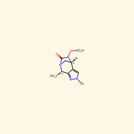 CCn1cc2c(n1)[C@@H](C(=O)O)N1C[C@@H]2N(OS(=O)(=O)O)C1=O